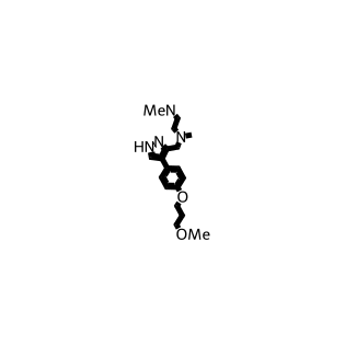 CNCCN(C)Cc1n[nH]cc1-c1ccc(OCCCOC)cc1